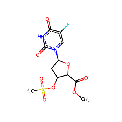 COC(=O)C1O[C@H](n2cc(F)c(=O)[nH]c2=O)CC1OS(C)(=O)=O